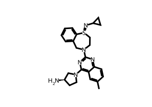 Cc1ccc2nc(N3CCS(=NC4CC4)c4ccccc4C3)nc(N3CC[C@@H](N)C3)c2c1